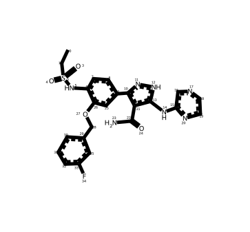 CCS(=O)(=O)Nc1ccc(-c2n[nH]c(Nc3cnccn3)c2C(N)=O)cc1OCc1cccc(F)c1